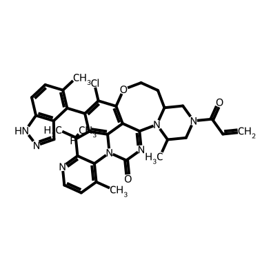 C=CC(=O)N1CC(C)N2c3nc(=O)n(-c4c(C)ccnc4C(C)C)c4c(F)c(-c5c(C)ccc6[nH]ncc56)c(Cl)c(c34)OCCC2C1